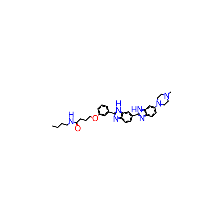 CCCCNC(=O)CCCOc1cccc(-c2nc3ccc(-c4nc5ccc(N6CCN(C)CC6)cc5[nH]4)cc3[nH]2)c1